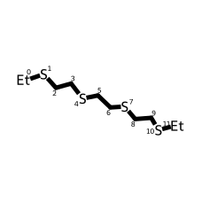 [CH2]CSCCSCCSCCSCC